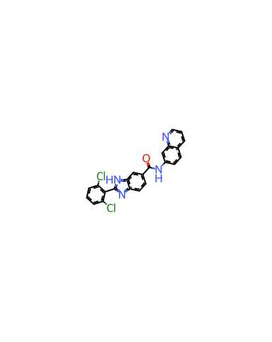 O=C(Nc1ccc2cccnc2c1)c1ccc2nc(-c3c(Cl)cccc3Cl)[nH]c2c1